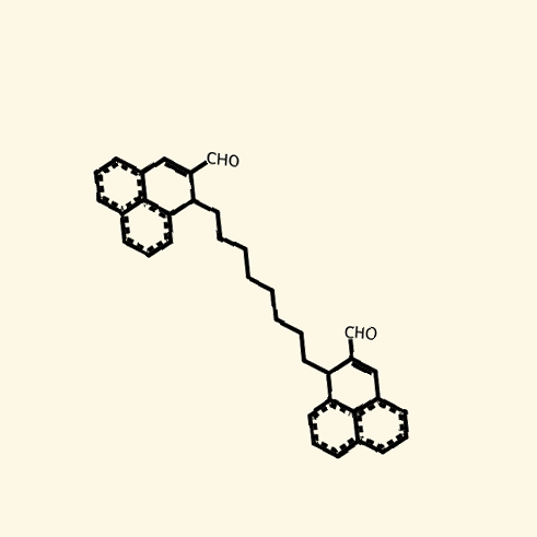 O=CC1=Cc2cccc3cccc(c23)C1CCCCCCCCC1C(C=O)=Cc2cccc3cccc1c23